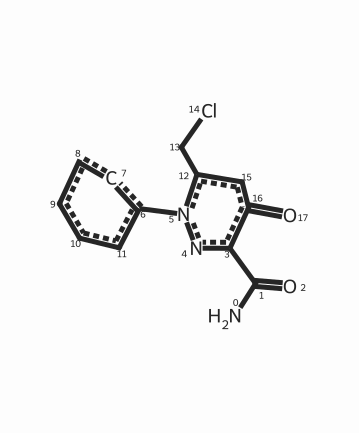 NC(=O)c1nn(-c2ccccc2)c(CCl)cc1=O